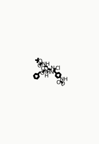 COC(=O)Nc1ccc(-c2[nH]c([C@H](CCNC(=O)OC(C)(C)C)NC(=O)OCc3ccccc3)nc2Cl)cc1